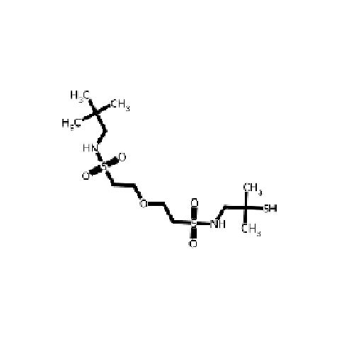 CC(C)(C)CNS(=O)(=O)CCOCCS(=O)(=O)NCC(C)(C)S